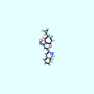 O/N=c1/cc(-c2cc3ccccc3cn2)oc2ccc(C3CC3)cc12